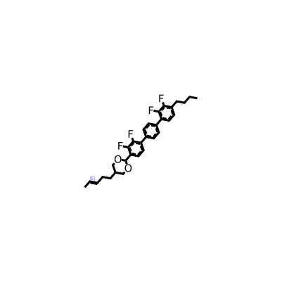 C/C=C/CCC1COC(c2ccc(-c3ccc(-c4ccc(CCCC)c(F)c4F)cc3)c(F)c2F)OC1